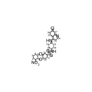 O=[N+]([O-])c1cccc(Cl)c1Oc1ccc(S(=O)(=O)NC2CCC(Nc3ccnc4cc(Cl)ccc34)CC2)cc1